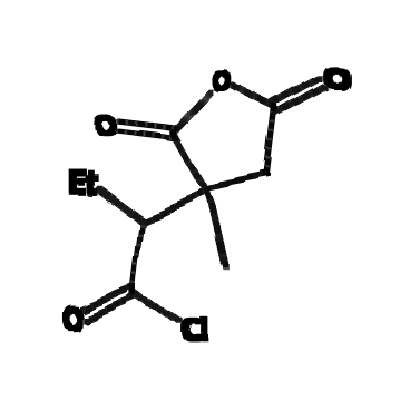 CCC(C(=O)Cl)C1(C)CC(=O)OC1=O